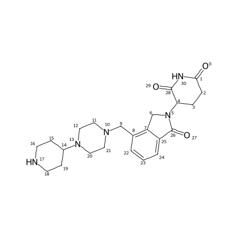 O=C1CCC(N2Cc3c(CN4CCN(C5CCNCC5)CC4)cccc3C2=O)C(=O)N1